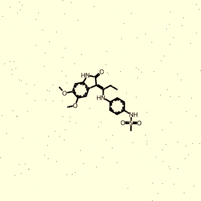 CCC(Nc1ccc(NS(C)(=O)=O)cc1)=C1C(=O)Nc2cc(OC)c(OC)cc21